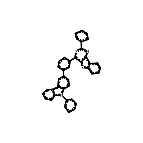 c1ccc(-c2nc(-c3cccc(-c4ccc5c(c4)c4ccccc4n5-c4ccccc4)c3)c3sc4ccccc4c3n2)cc1